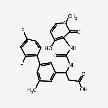 Cc1cc(-c2ccc(F)cc2F)cc(C(CC(=O)O)NC(=O)Nc2c(O)ccn(C)c2=O)c1